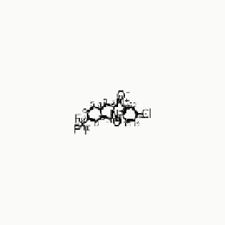 [O-][N+]1=C2C=c3ccc(C(F)(F)F)cc3=C[N+]2([O-])c2ccc(Cl)cc21